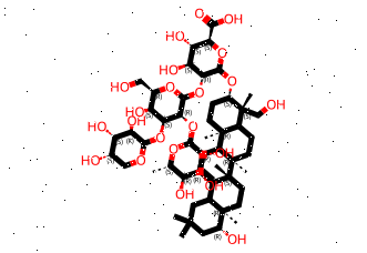 C[C@@H]1OC(O[C@H]2C(O[C@H]3C(O[C@H]4CC[C@@]5(C)C(CC[C@]6(C)C5CC=C5C7CC(C)(C)C[C@@H](O)[C@]7(C)CC[C@]56C)[C@@]4(C)CO)O[C@H](C(=O)O)[C@@H](O)[C@@H]3O)O[C@H](CO)[C@H](O)[C@@H]2OC2OC[C@H](O)[C@H](O)[C@H]2O)[C@H](O)[C@H](O)[C@H]1O